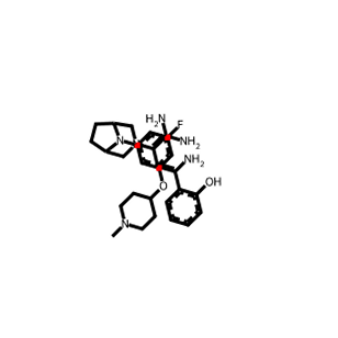 CN1CCC(Oc2cc(F)cc(N3C4CCC3CN(C(/C=C(\N)c3ccccc3O)=C(N)N)C4)c2)CC1